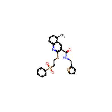 O=C(NCc1cccs1)c1cc2c(C(F)(F)F)cccc2nc1SCCS(=O)(=O)c1ccccc1